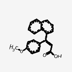 COc1ccc(C(=CC(=O)O)c2cccc3ccccc23)cc1